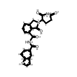 O=C1CCC(N2Cc3cccc(C(=O)NC(=O)c4ccc5sccc5c4)c3C2=O)C(=O)N1